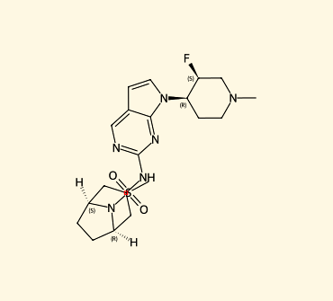 CN1CC[C@@H](n2ccc3cnc(NC4C[C@H]5CC[C@@H](C4)N5S(C)(=O)=O)nc32)[C@@H](F)C1